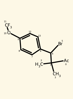 CC(=O)C(C)(C)C(Br)c1ccc(OC(F)(F)F)cc1